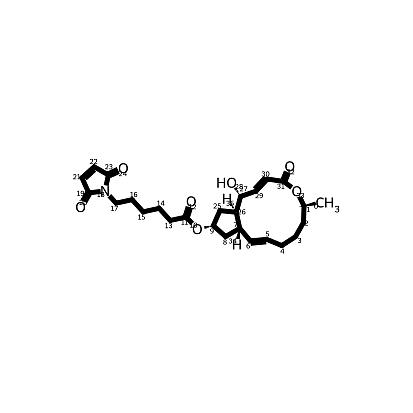 C[C@H]1CCC/C=C/[C@@H]2C[C@H](OC(=O)CCCCCN3C(=O)C=CC3=O)C[C@H]2[C@H](O)/C=C/C(=O)O1